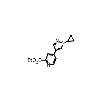 CCOC(=O)c1cc(-c2cnn(C3CC3)c2)ccn1